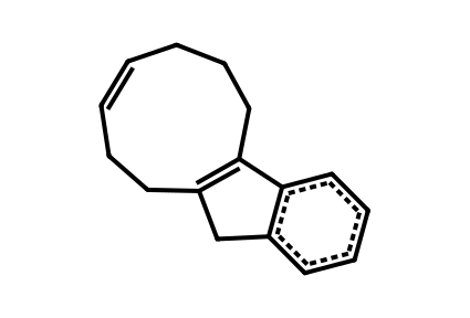 C1=CCCC2=C(CCC1)c1ccccc1C2